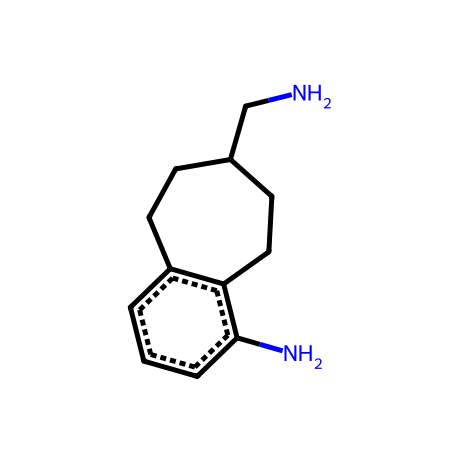 NCC1CCc2cccc(N)c2CC1